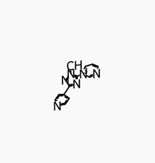 Cn1nc(-c2ccncc2)nc1N1C=NC=CC1